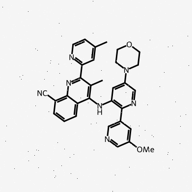 COc1cncc(-c2ncc(N3CCOCC3)cc2Nc2c(C)c(-c3cc(C)ccn3)nc3c(C#N)cccc23)c1